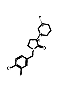 O=C1[C@H](N2CCC[C@@H](F)C2)CCN1Cc1ccc(Cl)c(F)c1